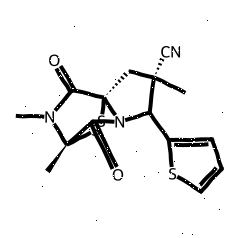 CN1C(=O)[C@@]23C[C@](C)(C#N)C(c4cccs4)N2C(=O)[C@]1(C)SS3